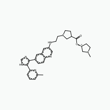 Cc1cccc(-c2[nH]cnc2-c2ccc3ncc(NCCN4CCC(C(=O)O[C@H]5CCN(C)C5)C4)cc3c2)n1